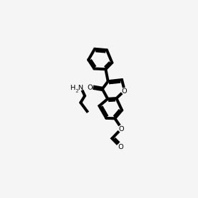 CCCN.O=COc1ccc2c(=O)c(-c3ccccc3)coc2c1